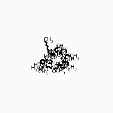 CCCCCCCCC(NC(=O)[C@@H]1CCCN1C(=O)c1ccc(F)cc1)C(=O)NC(CC(C)C)C(=O)NC(C)(C)C(=O)NC(CC(C)C)C(=O)NC(CC(C)C)C(=O)NC(C)(C)C(=O)NC(C)(C)C(=O)NCCC(=O)NC(C)CN(C)C